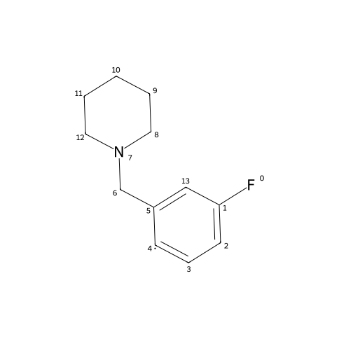 Fc1cc[c]c(CN2CCCCC2)c1